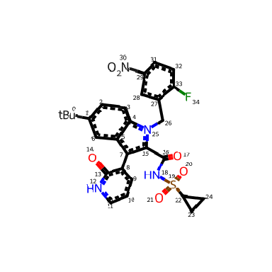 CC(C)(C)c1ccc2c(c1)c(-c1ccc[nH]c1=O)c(C(=O)NS(=O)(=O)C1CC1)n2Cc1cc([N+](=O)[O-])ccc1F